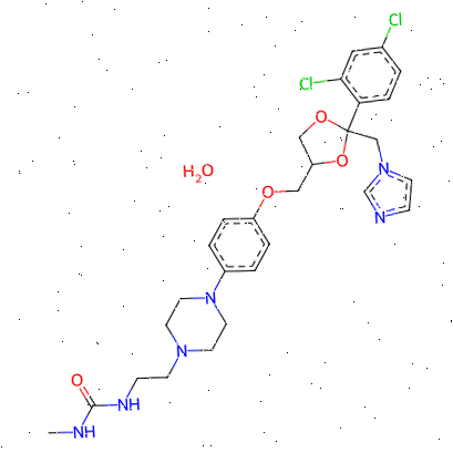 CNC(=O)NCCN1CCN(c2ccc(OCC3COC(Cn4ccnc4)(c4ccc(Cl)cc4Cl)O3)cc2)CC1.O